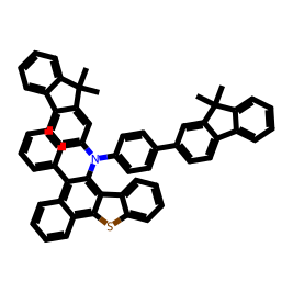 CC1(C)c2ccccc2-c2ccc(-c3ccc(N(c4ccc5c(c4)C(C)(C)c4ccccc4-5)c4c(-c5ccccc5)c5ccccc5c5sc6ccccc6c45)cc3)cc21